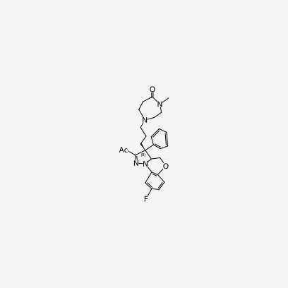 CC(=O)C1=NN2c3cc(F)ccc3OCC2[C@@]1(CCCN1CCC(=O)N(C)CC1)c1ccccc1